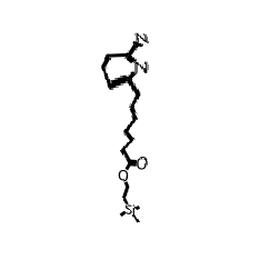 C[Si](C)(C)CCOC(=O)CCCCCCc1cccc(C#N)n1